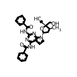 C#C[C@]1(CO)O[C@@H](n2ccc3c(NC(=O)c4ccccc4)nc(NC(=O)c4ccccc4)nc32)C[C@@H]1C